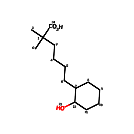 CC(C)(CCCCC1CCCCC1O)C(=O)O